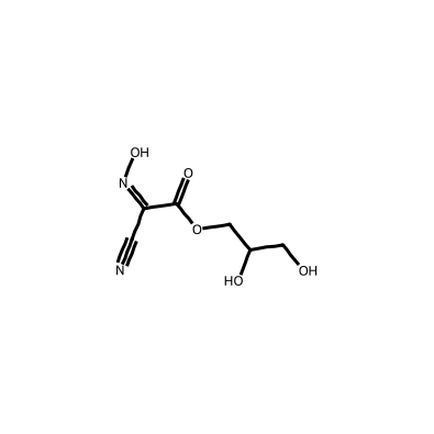 N#C/C(=N/O)C(=O)OCC(O)CO